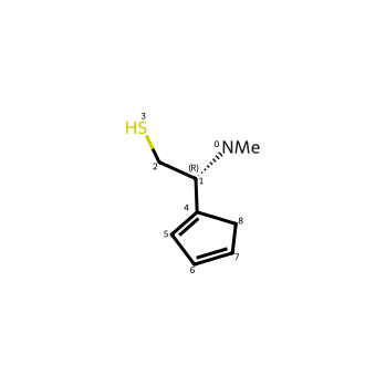 CN[C@@H](CS)C1=CC=CC1